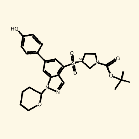 CC(C)(C)OC(=O)N1CC[C@H](S(=O)(=O)c2cc(-c3ccc(O)cc3)cc3c2cnn3C2CCCCO2)C1